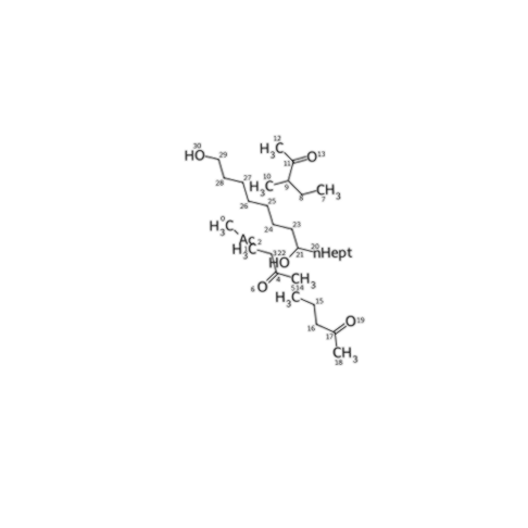 CC(C)=O.CCC(C)=O.CCC(C)C(C)=O.CCCC(C)=O.CCCCCCCC(O)CCCCCCCO